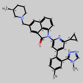 C[C@H]1CCCN(Cc2cc3c4c(cccc4c2)N(c2cc(-c4ccc(C#N)cc4-c4nncn4C)cc(C4CC4)n2)C3=O)C1